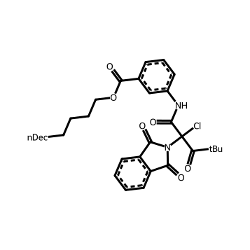 CCCCCCCCCCCCCCOC(=O)c1cccc(NC(=O)C(Cl)(C(=O)C(C)(C)C)N2C(=O)c3ccccc3C2=O)c1